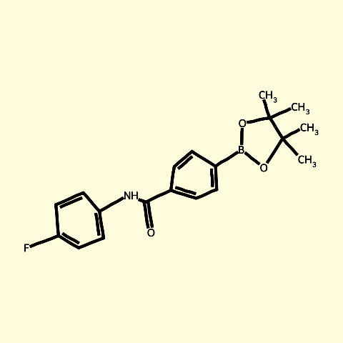 CC1(C)OB(c2ccc(C(=O)Nc3ccc(F)cc3)cc2)OC1(C)C